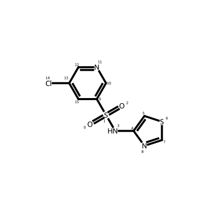 O=S(=O)(Nc1cscn1)c1cncc(Cl)c1